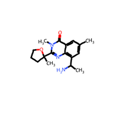 Cc1cc(C(C)N)c2nc(C3(C)CCCO3)n(C)c(=O)c2c1